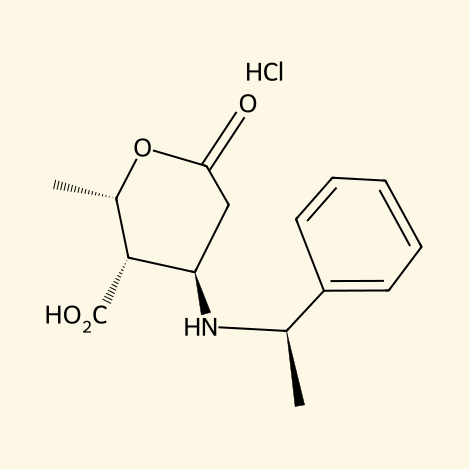 C[C@@H]1OC(=O)C[C@@H](N[C@H](C)c2ccccc2)[C@@H]1C(=O)O.Cl